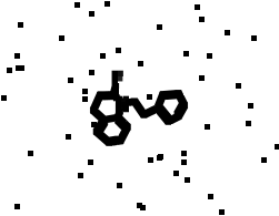 FC1=CCc2ccccc2N1CCc1ccccc1